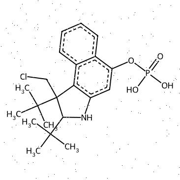 CC(C)(C)C1Nc2cc(OP(=O)(O)O)c3ccccc3c2C1(CCl)C(C)(C)C